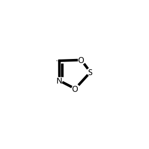 [C]1=NOSO1